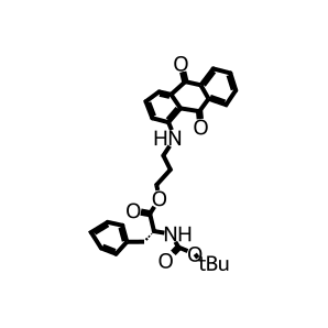 CC(C)(C)OC(=O)N[C@H](Cc1ccccc1)C(=O)OCCCNc1cccc2c1C(=O)c1ccccc1C2=O